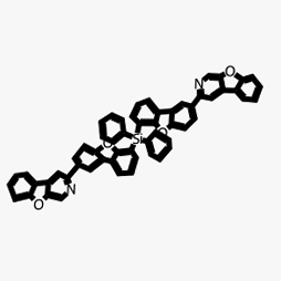 c1ccc([Si](c2ccccc2)(c2cccc3c2oc2ccc(-c4cc5c(cn4)oc4ccccc45)cc23)c2cccc3c2oc2ccc(-c4cc5c(cn4)oc4ccccc45)cc23)cc1